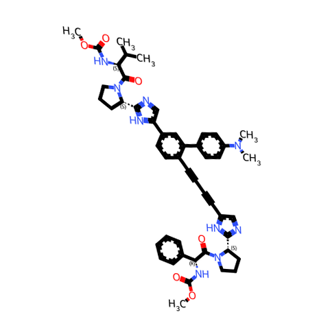 COC(=O)N[C@H](C(=O)N1CCC[C@H]1c1ncc(-c2ccc(C#CC#Cc3cnc([C@@H]4CCCN4C(=O)[C@H](NC(=O)OC)c4ccccc4)[nH]3)c(-c3ccc(N(C)C)cc3)c2)[nH]1)C(C)C